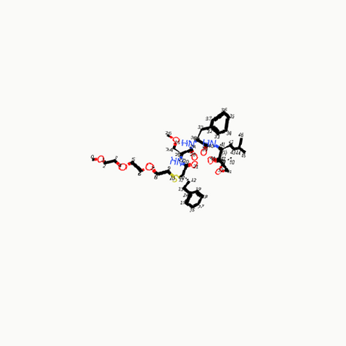 COCCOCCOCCS[C@@H](CCc1ccccc1)C(=O)N[C@@H](COC)C(=O)N[C@@H](Cc1ccccc1)C(=O)N[C@@H](CCC(C)C)C(=O)[C@@]1(C)CO1